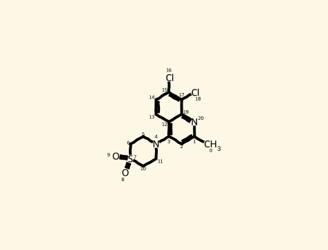 Cc1cc(N2CCS(=O)(=O)CC2)c2ccc(Cl)c(Cl)c2n1